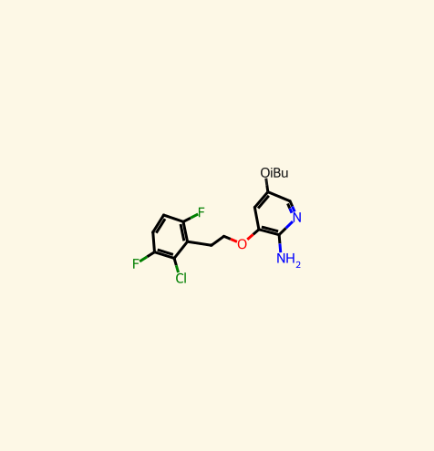 CC(C)COc1cnc(N)c(OCCc2c(F)ccc(F)c2Cl)c1